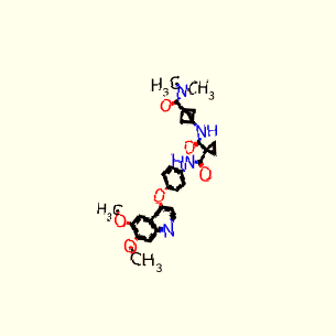 COc1cc2nccc(Oc3ccc(NC(=O)C4(C(=O)NC56CC(C(=O)N(C)C)(C5)C6)CC4)cc3)c2cc1OC